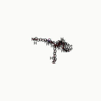 CC[C@H](C)[C@@H]([C@@H](CC(=O)N1CCC[C@H]1[C@H](OC)[C@@H](C)C(=O)N[C@H](C)[C@@H](O)c1ccccc1)OC)N(C)C(=O)[C@@H](NC(=O)[C@H](C(C)C)N(C)C(=O)NC(=O)[C@H](C)NC(=O)[C@@H](NC(=O)[C@@H](CCCCNC(=O)COC1CCCCC/C(NCCOCCOCCOCCOCCC(=O)NCC[N+](C)(C)C)=C\1NN)NC(=O)CCOCCOCCOCCOCCNC(=O)COC1C#CCCCCC1)C(C)C)C(C)C